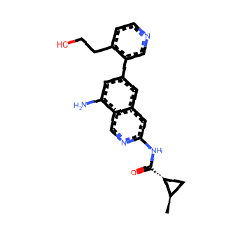 C[C@@H]1C[C@H]1C(=O)Nc1cc2cc(-c3cnccc3CCO)cc(N)c2cn1